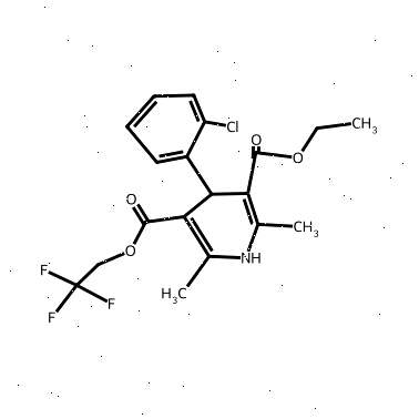 CCOC(=O)C1=C(C)NC(C)=C(C(=O)OCC(F)(F)F)C1c1ccccc1Cl